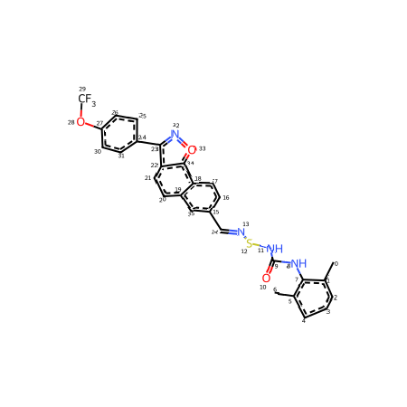 Cc1cccc(C)c1NC(=O)NS/N=C/c1ccc2c(ccc3c(-c4ccc(OC(F)(F)F)cc4)noc32)c1